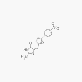 NC1=NC(=Cc2ccc(-c3ccc([N+](=O)[O-])cc3)o2)C(=O)N1